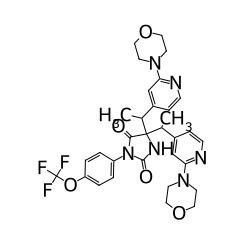 CC(c1ccnc(N2CCOCC2)c1)C1(C(C)c2ccnc(N3CCOCC3)c2)NC(=O)N(c2ccc(OC(F)(F)F)cc2)C1=O